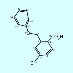 O=C(O)c1ccc(Cl)cc1COc1ccccc1